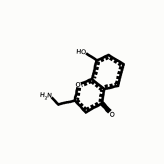 NCc1cc(=O)c2cccc(O)c2o1